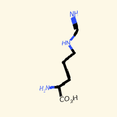 N=CNCCCC(N)C(=O)O